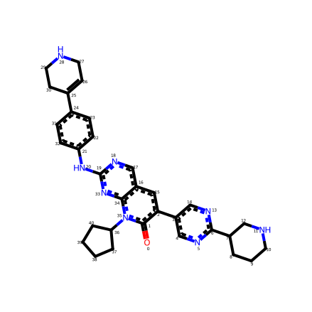 O=c1c(-c2cnc(C3CCCNC3)nc2)cc2cnc(Nc3ccc(C4=CCNCC4)cc3)nc2n1C1CCCC1